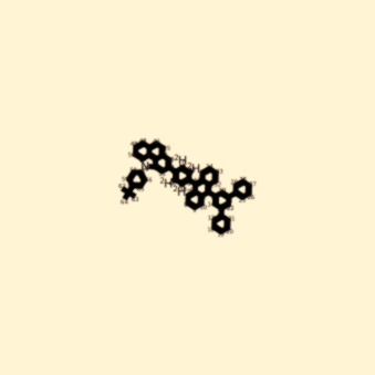 [2H]c1c([2H])c(-c2c3ccccc3c(-c3cc(-c4ccccc4)cc(-c4ccccc4)c3)c3ccccc23)c([2H])c([2H])c1-c1cc2ccc3cccc4c3c2c(c1)n4-c1ccc(C(C)(C)C)cc1